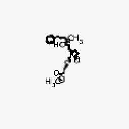 COC(=O)CCCSCCN1C(=O)CCC1CC[C@@H](O)[C@@H](C)CCCc1ccccc1